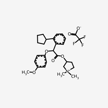 COc1ccc(OC(C(=O)OC2CC[N+](C)(C)C2)c2ccccc2C2CCCC2)cc1.O=C([O-])C(F)(F)F